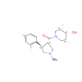 C[C@@H]1CN(C(=O)[C@@H]2CN(C(C)(C)C)C[C@H]2c2ccc(F)cc2F)C[C@H](C)[C@@H]1O